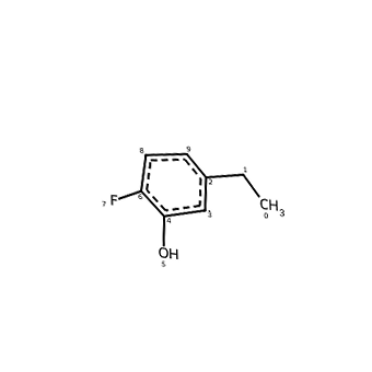 CCc1[c]c(O)c(F)cc1